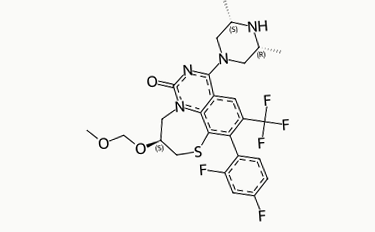 COCO[C@@H]1CSc2c(-c3ccc(F)cc3F)c(C(F)(F)F)cc3c(N4C[C@@H](C)N[C@@H](C)C4)nc(=O)n(c23)C1